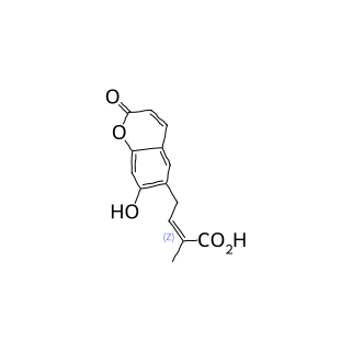 C/C(=C/Cc1cc2ccc(=O)oc2cc1O)C(=O)O